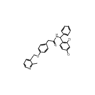 Cc1ncccc1COc1ccc(CC(=O)NC(c2ccccc2)c2ccc(Cl)cc2Cl)cc1